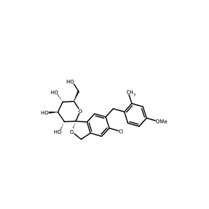 COc1ccc(Cc2cc3c(cc2Cl)CO[C@]32O[C@H](CO)[C@@H](O)[C@H](O)[C@H]2O)c(C)c1